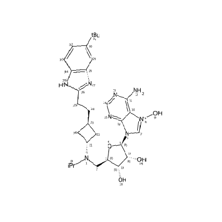 CC(C)N(C[C@H]1O[C@@H](n2c[n+](O)c3c(N)ncnc32)[C@H](O)[C@@H]1O)[C@H]1C[C@H](CCc2nc3cc(C(C)(C)C)ccc3[nH]2)C1